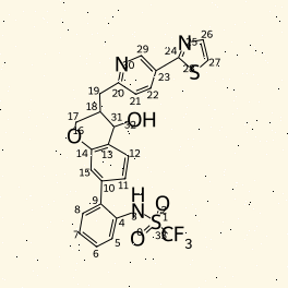 O=S(=O)(Nc1ccccc1-c1ccc2c(c1)OCC(Cc1ccc(-c3nccs3)cn1)C2O)C(F)(F)F